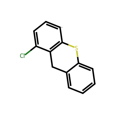 Clc1cc[c]c2c1Cc1ccccc1S2